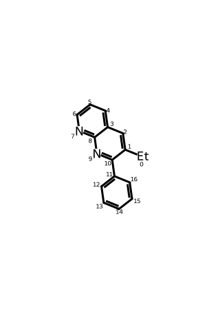 CCc1cc2cccnc2nc1-c1ccccc1